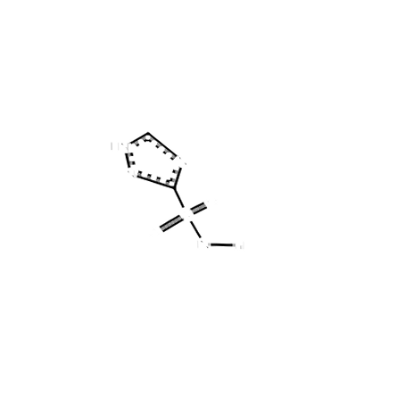 CCCNS(=O)(=O)c1nc[nH]n1